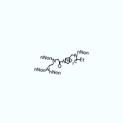 CCCCCCCCCN(CCCCCCCCC)CCN(CCCCCCCCC)CC(=O)N1CCC(CN(CCCCCCCCC)C(CC)C(=O)O)C1